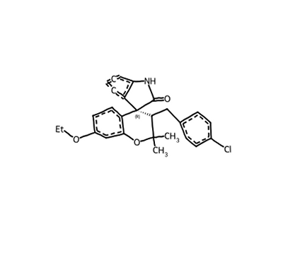 CCOc1ccc2c(c1)OC(C)(C)C(Cc1ccc(Cl)cc1)[C@]21C(=O)Nc2ccccc21